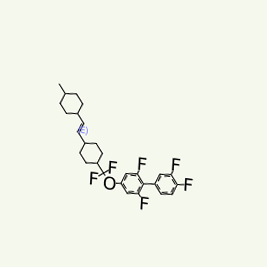 CC1CCC(/C=C/C2CCC(C(F)(F)Oc3cc(F)c(-c4ccc(F)c(F)c4)c(F)c3)CC2)CC1